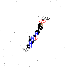 COC(=O)Oc1cc2cc(C3=CCN(C(=O)CN4[C@H](C)CN(c5ccc(C(F)(F)F)cn5)C[C@@H]4C)CC3)ccc2s1